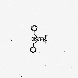 FB(F)F.O=S(=O)(CCc1ccccc1)CCc1ccccc1